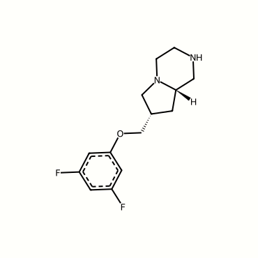 Fc1cc(F)cc(OC[C@H]2C[C@H]3CNCCN3C2)c1